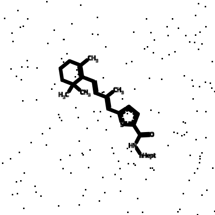 CCCCCCCNC(=O)c1ccc(/C=C(\C)C=CC2=C(C)CCCC2(C)C)s1